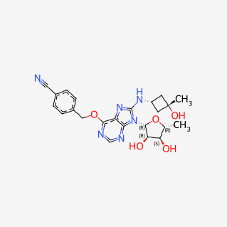 C[C@H]1O[C@@H](n2c(N[C@H]3C[C@@](C)(O)C3)nc3c(OCc4ccc(C#N)cc4)ncnc32)[C@H](O)[C@@H]1O